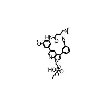 CCOP(=O)(O)OCn1cc(-c2cccc(C#N)c2)c2cc(-c3cc(NC(=O)C=CCN(C)C)cc(OC)c3)cnc21